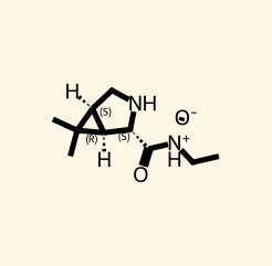 CC[NH+]([O-])C(=O)[C@H]1NC[C@H]2[C@@H]1C2(C)C